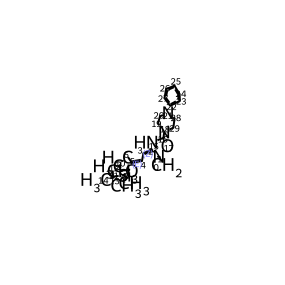 C=N/C(=C\C=C(/C)O[Si](C)(C)C(C)(C)C)NC(=O)N1CCN(c2ccccc2)CC1